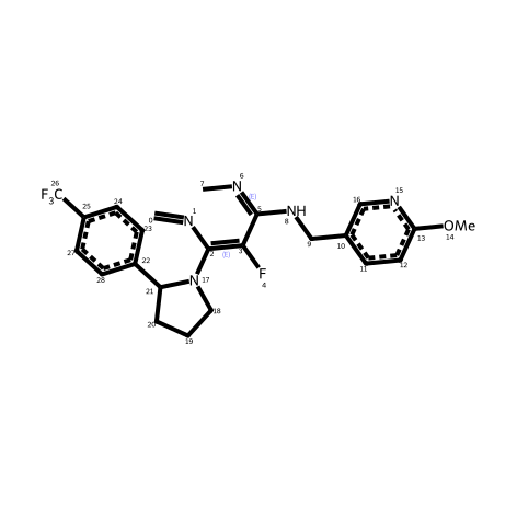 C=N/C(=C(F)\C(=N/C)NCc1ccc(OC)nc1)N1CCCC1c1ccc(C(F)(F)F)cc1